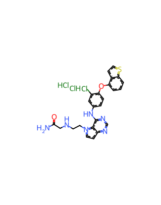 Cl.Cl.NC(=O)CNCCn1ccc2ncnc(Nc3ccc(Oc4cccc5sccc45)c(Cl)c3)c21